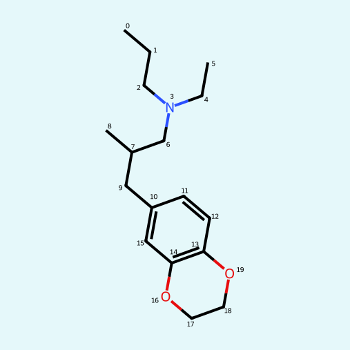 CCCN(CC)CC(C)Cc1ccc2c(c1)OCCO2